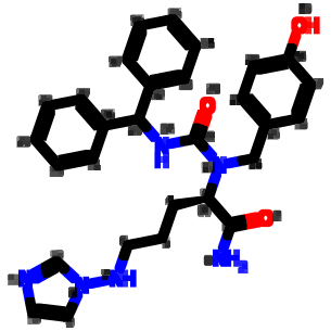 NC(=O)[C@@H](CCCNn1ccnc1)N(Cc1ccc(O)cc1)C(=O)NC(c1ccccc1)c1ccccc1